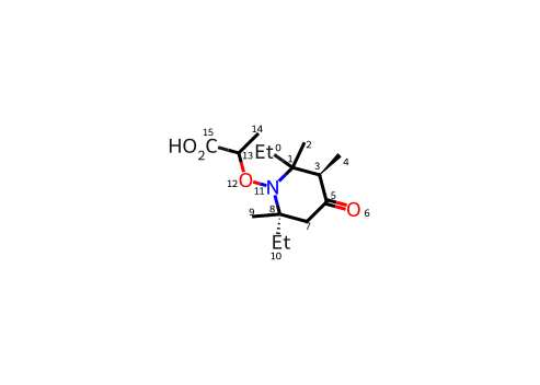 CCC1(C)[C@@H](C)C(=O)C[C@](C)(CC)N1OC(C)C(=O)O